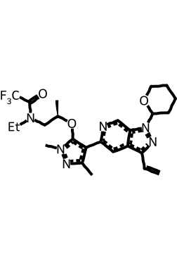 C=Cc1nn(C2CCCCO2)c2cnc(-c3c(C)nn(C)c3O[C@H](C)CN(CC)C(=O)C(F)(F)F)cc12